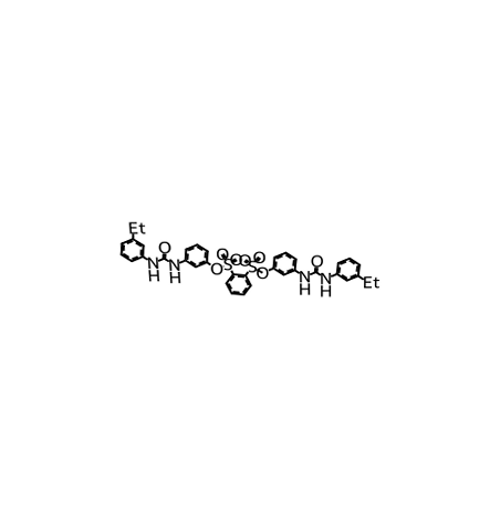 CCc1cccc(NC(=O)Nc2cccc(OS(=O)(=O)c3ccccc3S(=O)(=O)Oc3cccc(NC(=O)Nc4cccc(CC)c4)c3)c2)c1